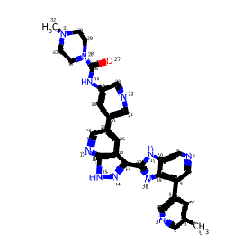 Cc1cncc(-c2cncc3[nH]c(-c4n[nH]c5ncc(-c6cncc(NC(=O)N7CCN(C)CC7)c6)cc45)nc23)c1